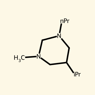 CCCN1CC(C(C)C)CN(C)C1